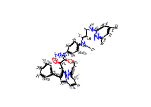 Cc1cc(C)nc(N(C)CCCN(C)c2ccc(NC(=O)C(=O)c3c(-c4ccccc4)cc4cccc(C)n34)cc2)c1